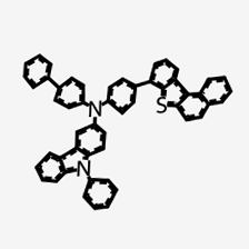 c1ccc(-c2ccc(N(c3ccc(-c4cccc5c4sc4ccc6ccccc6c45)cc3)c3ccc4c(c3)c3ccccc3n4-c3ccccc3)cc2)cc1